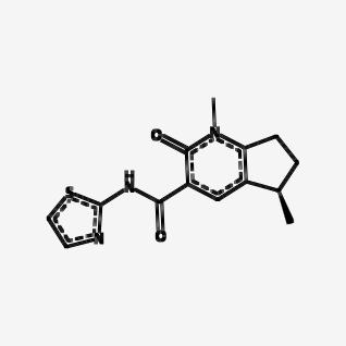 C[C@@H]1CCc2c1cc(C(=O)Nc1nccs1)c(=O)n2C